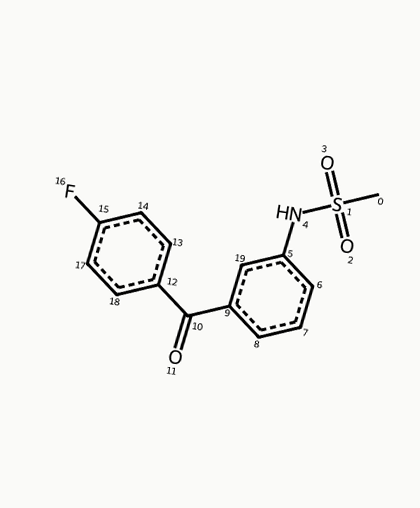 CS(=O)(=O)Nc1cccc(C(=O)c2ccc(F)cc2)c1